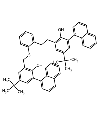 CC(C)(C)c1cc(CCc2ccccc2SCc2cc(C(C)(C)C)cc(-c3cccc4ccccc34)c2O)c(O)c(-c2cccc3ccccc23)c1